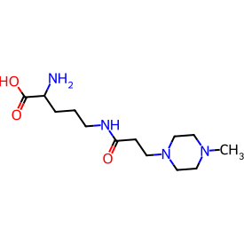 CN1CCN(CCC(=O)NCCCC(N)C(=O)O)CC1